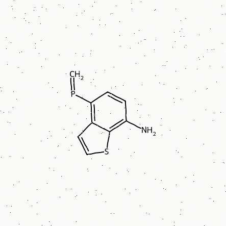 C=Pc1ccc(N)c2sccc12